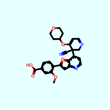 COc1cc(C(=O)O)ccc1-c1cc2nccc(C3(C#N)CN=CC=C3OC3CCOCC3)c2o1